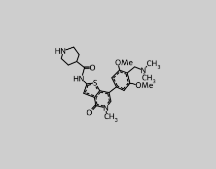 COc1cc(-c2cn(C)c(=O)c3cc(NC(=O)C4CCNCC4)sc23)cc(OC)c1CN(C)C